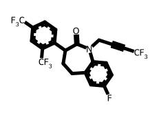 O=C1C(c2ccc(C(F)(F)F)cc2C(F)(F)F)CCc2cc(F)ccc2N1CC#CC(F)(F)F